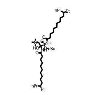 CCCCOP(=O)(NC(=O)CCCCCCCCCC(CC)CCC)C(O)(C[N+](C)(C)C)NC(=O)CCCCCCCCCC(CC)CCC